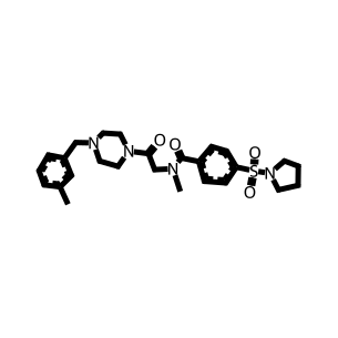 Cc1cccc(CN2CCN(C(=O)CN(C)C(=O)c3ccc(S(=O)(=O)N4CCCC4)cc3)CC2)c1